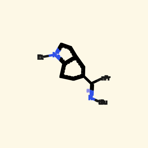 CCC/C(=N\C(C)(C)C)c1ccc2c(ccn2CC)c1